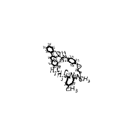 Cc1cc(C)nc(N(C)CCOc2ccc(NC(=O)C(=O)c3c(-c4ccccc4)cc4ccc(C)cn34)cc2)c1